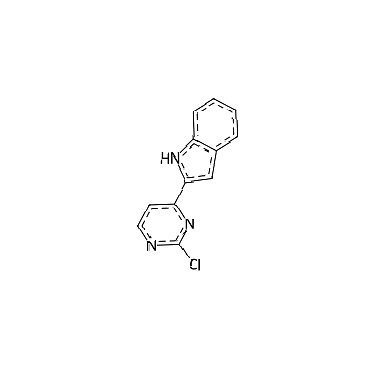 Clc1nccc(-c2cc3ccccc3[nH]2)n1